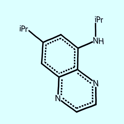 CC(C)Nc1cc(C(C)C)cc2nccnc12